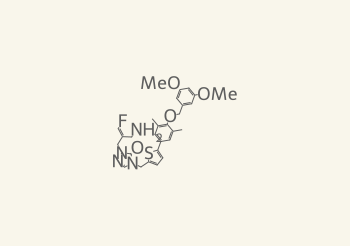 COc1cc(COc2c(C)cc(-c3ccc(Cn4cnn(C/C(=C/F)CN)c4=O)s3)cc2C)cc(OC)c1